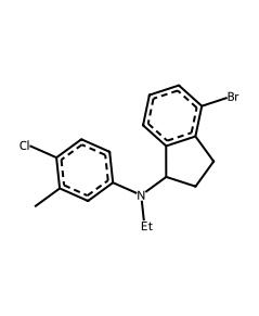 CCN(c1ccc(Cl)c(C)c1)C1CCc2c(Br)cccc21